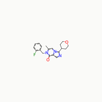 Cc1cn2c(C3CCOCC3)ncc2c(=O)n1Cc1ccccc1F